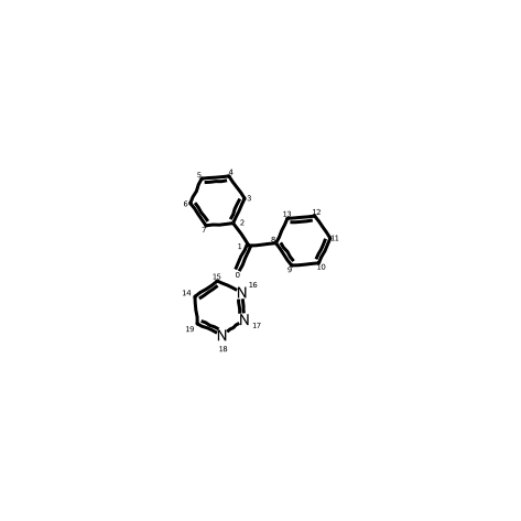 C=C(c1ccccc1)c1ccccc1.c1cnnnc1